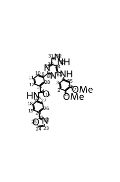 COc1ccc(Nc2nc(-c3cccc(C(=O)Nc4ccc(-c5ncco5)cc4)c3)nc3cn[nH]c23)cc1OC